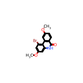 COc1cc(Br)c2c(c1)[nH]c(=O)c1ccc(OC)cc12